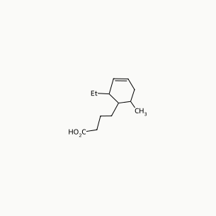 CCC1C=CCC(C)C1CCCC(=O)O